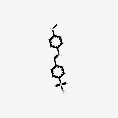 CSc1ccc(/N=C/c2ccc(S(N)(=O)=O)cc2)cc1